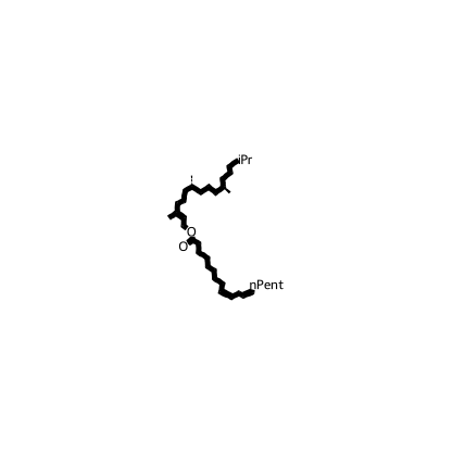 CCCCC/C=C\C/C=C\CCCCCCCC(=O)OC/C=C(\C)CCC[C@H](C)CCC[C@H](C)CCCC(C)C